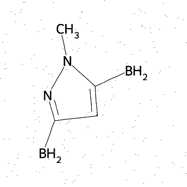 Bc1cc(B)n(C)n1